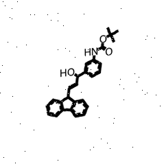 CC(C)(C)OC(=O)Nc1cccc(C(O)/C=C/C2c3ccccc3-c3ccccc32)c1